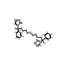 CC(CCCCSCCCCC(C)(c1ccccc1)n1cnnn1)(c1ccccc1)n1cnnn1